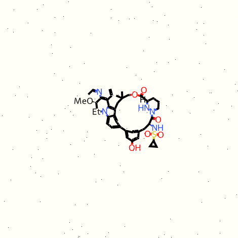 C=C/C(=C(\N=C/C)[C@H](C)OC)c1c2c3cc(ccc3n1CC)-c1cc(O)cc(c1)C[C@H](NS(=O)(=O)C1CC1)C(=O)N1CCC[C@H](N1)C(=O)OCC(C)(C)C2